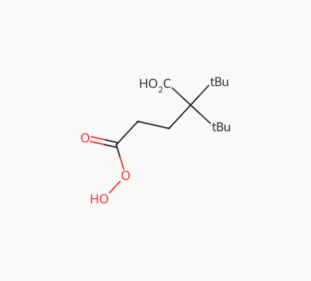 CC(C)(C)C(CCC(=O)OO)(C(=O)O)C(C)(C)C